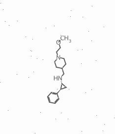 COCCN1CCC(CN[C@@H]2C[C@H]2c2ccccc2)CC1